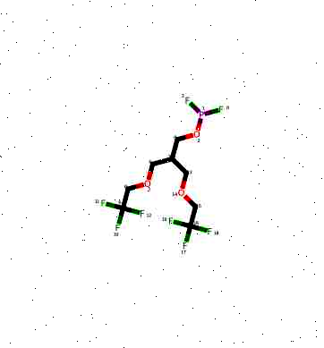 FP(F)OCC(COCC(F)(F)F)COCC(F)(F)F